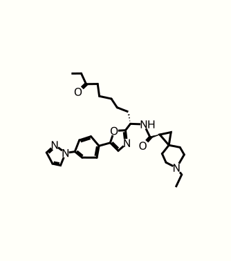 CCC(=O)CCCCC[C@H](NC(=O)[C@H]1CC12CCN(CC)CC2)c1ncc(-c2ccc(-n3cccn3)cc2)o1